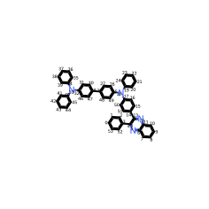 c1ccc(-c2nc3ccccc3nc2-c2ccc(N(c3ccccc3)c3ccc(-c4ccc(N(c5ccccc5)c5ccccc5)cc4)cc3)cc2)cc1